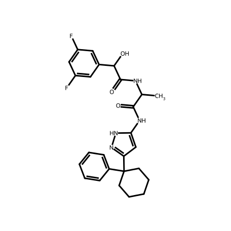 CC(NC(=O)C(O)c1cc(F)cc(F)c1)C(=O)Nc1cc(C2(c3ccccc3)CCCCC2)n[nH]1